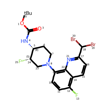 CC(C)(C)OC(=O)N[C@@H]1CCN(c2ccc(F)c3ccc(C(Br)Br)nc23)C[C@@H]1F